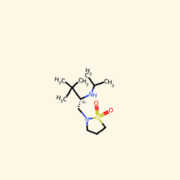 CC(C)N[C@H](CN1CCCS1(=O)=O)C(C)(C)C